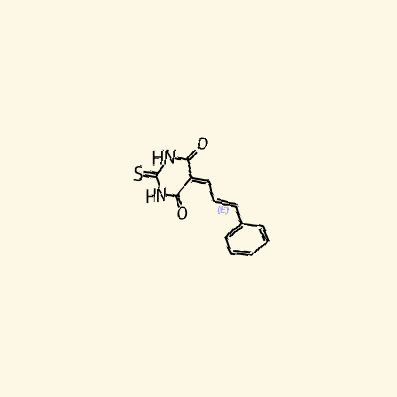 O=C1NC(=S)NC(=O)C1=C/C=C/c1ccccc1